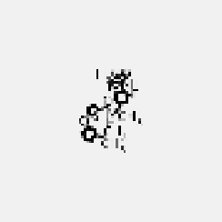 CC(C)c1cccc(Oc2ccc(C(=O)N[C@H](C)c3cc(F)c(NS(C)(=O)=O)c(F)c3)s2)c1